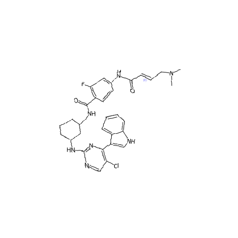 CN(C)C/C=C/C(=O)Nc1ccc(C(=O)NC2CCCC(Nc3ncc(Cl)c(-c4c[nH]c5ccccc45)n3)C2)c(F)c1